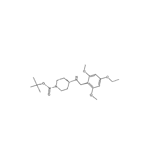 CCOc1cc(OC)c(CNC2CCN(C(=O)OC(C)(C)C)CC2)c(OC)c1